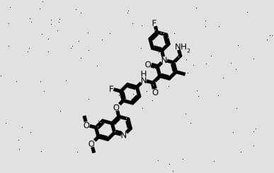 COc1cc2nccc(Oc3ccc(NC(=O)c4cc(C)c(CN)n(-c5ccc(F)cc5)c4=O)cc3F)c2cc1OC